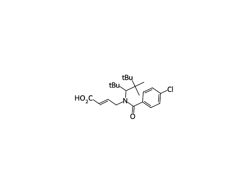 CC(C)(C)C(N(C/C=C/C(=O)O)C(=O)c1ccc(Cl)cc1)C(C)(C)C(C)(C)C